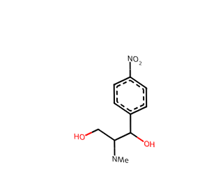 CNC(CO)C(O)c1ccc([N+](=O)[O-])cc1